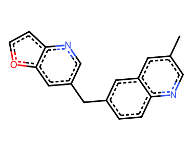 Cc1cnc2ccc(Cc3cnc4ccoc4c3)cc2c1